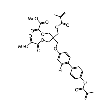 C=C(C)C(=O)OCC(COC(=O)C(=O)OC)(COC(=O)C(=O)OC)COc1ccc(-c2ccc(OC(=O)C(=C)C)cc2)c(CC)c1